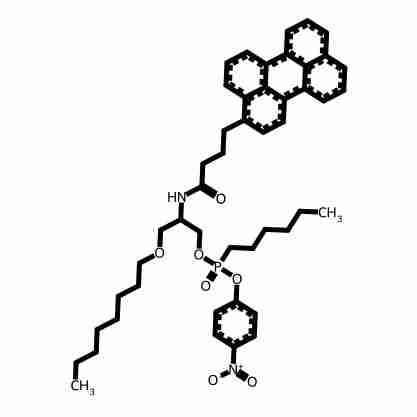 CCCCCCCCOCC(COP(=O)(CCCCCC)Oc1ccc([N+](=O)[O-])cc1)NC(=O)CCCc1ccc2c3cccc4cccc(c5cccc1c52)c43